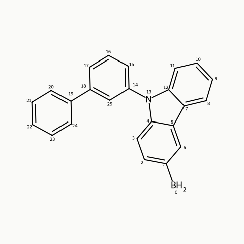 Bc1ccc2c(c1)c1ccccc1n2-c1cccc(-c2ccccc2)c1